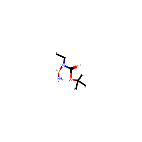 CCN(ON)C(=O)OC(C)(C)C